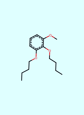 CCCCOc1cccc(OC)c1OCCCC